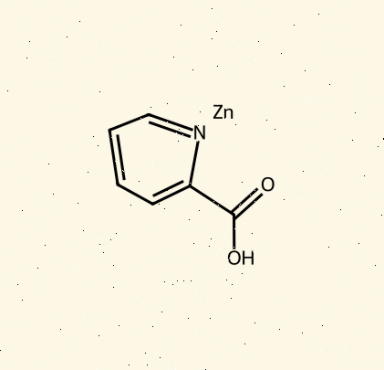 O=C(O)c1ccccn1.[Zn]